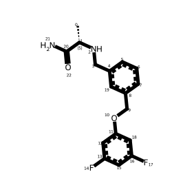 C[C@H](NCc1cccc(COc2cc(F)cc(F)c2)c1)C(N)=O